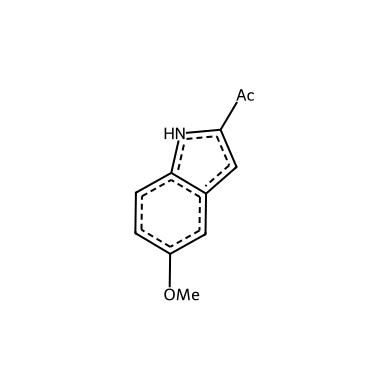 COc1ccc2[nH]c(C(C)=O)cc2c1